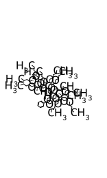 CCCCOCC1O[C@@H](O[C@H]2C(OCCCC)[C@@H](OCCCC)C(COCCCC)O[C@H]2OC2[C@@H]3OC(c4ccccc4)OCC3O[C@@H](O[C@@H]3C(COCCCC)O[C@@H](OCCCC)[C@@H](C)C3OCCCC)[C@@H]2OCCCC)[C@@H](C)C(OCCCC)[C@@H]1OCCCC